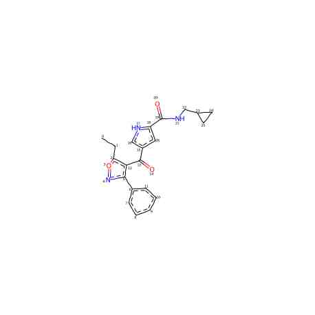 CCc1onc(-c2ccccc2)c1C(=O)c1c[nH]c(C(=O)NCC2CC2)c1